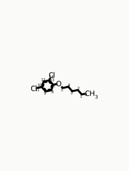 CCCCCCOc1ccc(Cl)cc1Cl